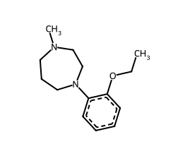 CCOc1ccccc1N1CCCN(C)CC1